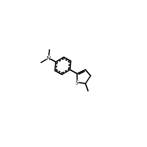 CC1CC=C(c2ccc(N(C)C)cc2)S1